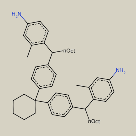 CCCCCCCCC(c1ccc(C2(c3ccc(C(CCCCCCCC)c4ccc(N)cc4C)cc3)CCCCC2)cc1)c1ccc(N)cc1C